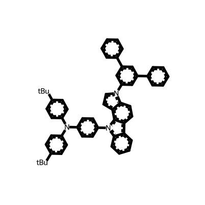 CC(C)(C)c1ccc(N(c2ccc(-n3c4ccccc4c4ccc5c(ccn5-c5cc(-c6ccccc6)cc(-c6ccccc6)c5)c43)cc2)c2ccc(C(C)(C)C)cc2)cc1